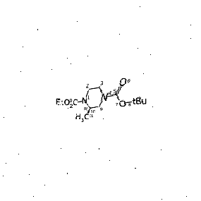 CCOC(=O)N1CCN(C(=O)OC(C)(C)C)C[C@H]1C